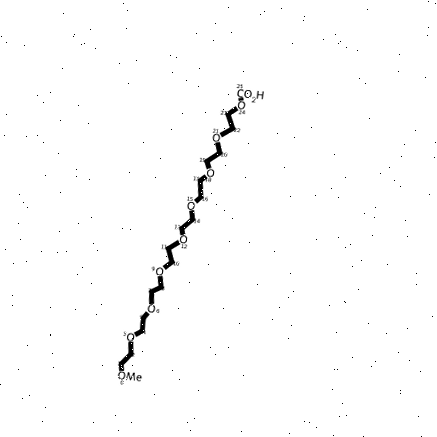 COCCOCCOCCOCCOCCOCCOCCOCCOC(=O)O